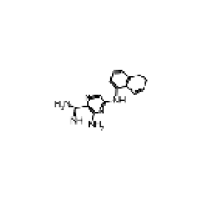 N=C(N)c1ncc(Nc2cccc3c2C=CCC3)nc1N